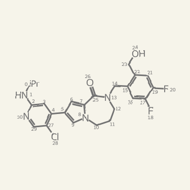 CC(C)Nc1cc(-c2cc3n(c2)CCCN(Cc2cc(F)c(F)cc2CO)C3=O)c(Cl)cn1